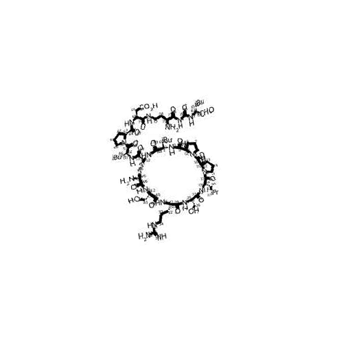 CC[C@H](C)[C@@H]1NC(=O)[C@@H]2CCCN2C(=O)[C@@H]2CCCN2C(=O)[C@H](CC(C)C)NC(=O)[C@H](CO)NC(=O)[C@H](CCCNC(=N)N)NC(=O)[C@H](CO)NC(=O)[C@@H](N)SS[C@@H](C(=O)N[C@H](C(=O)N2CCC[C@H]2C(=O)N[C@@H](CC(=O)O)C(=O)NCCC(N)C(=O)NC(=O)N[C@H](C=O)[C@@H](C)CC)[C@@H](C)CC)NC1=O